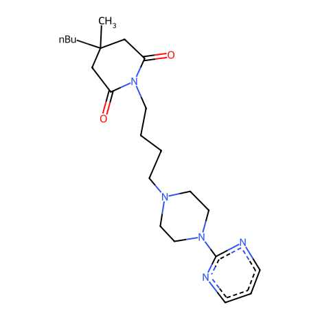 CCCCC1(C)CC(=O)N(CCCCN2CCN(c3ncccn3)CC2)C(=O)C1